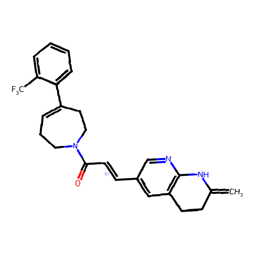 C=C1CCc2cc(/C=C/C(=O)N3CCC=C(c4ccccc4C(F)(F)F)CC3)cnc2N1